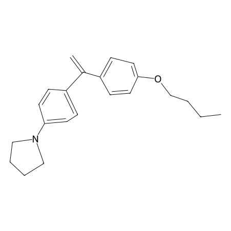 C=C(c1ccc(OCCCC)cc1)c1ccc(N2CCCC2)cc1